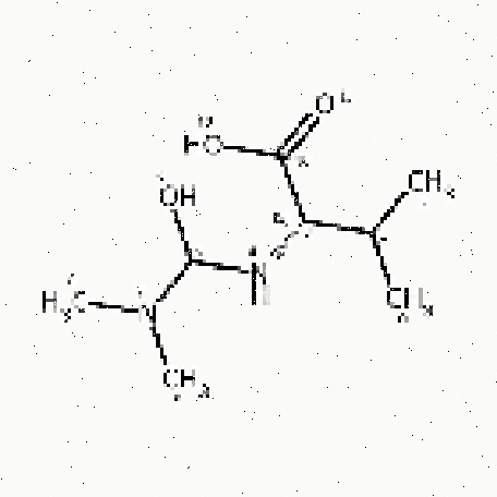 CC(C)[C@H](NC(O)N(C)C)C(=O)O